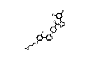 COCCCOc1ccc(F)c(-c2ccnc(N3CCC(C(=O)N4N=CCC4c4cc(F)cc(F)c4)CC3)c2)c1